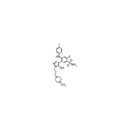 CN1CCN(CCCn2ncc(-c3cc(S(N)(=O)=O)c(F)cc3Nc3ccc(I)cc3)c2O)CC1